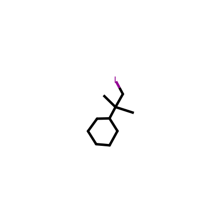 CC(C)(CI)C1CCCCC1